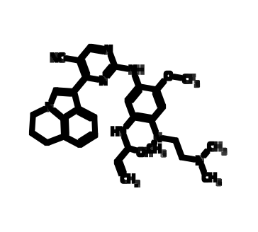 C=CC(O)Nc1cc(Nc2ncc(C#N)c(-c3cn4c5c(cccc35)CCC4)n2)c(OC(F)(F)F)cc1N(C)CCN(C)C